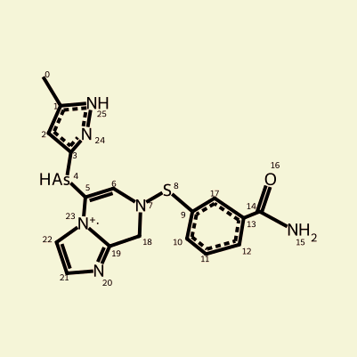 Cc1cc([AsH]C2=CN(Sc3cccc(C(N)=O)c3)CC3=NC=C[N+]23)n[nH]1